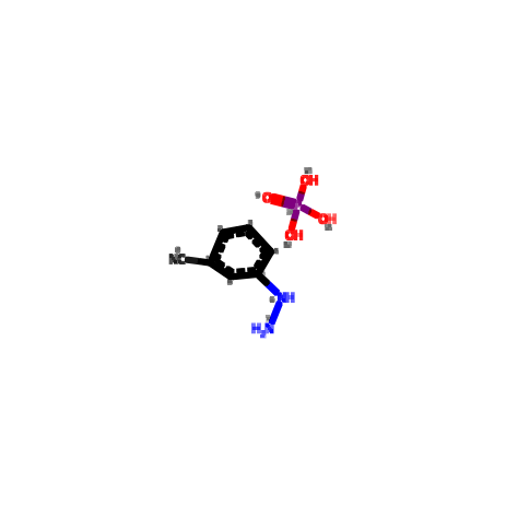 N#Cc1cccc(NN)c1.O=P(O)(O)O